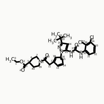 CCOC(=O)C1CCN(C(=O)Cc2cccc(-n3nc(C(C)(C)C)cc3NC(=O)Nc3cccc(Cl)c3Cl)c2)CC1